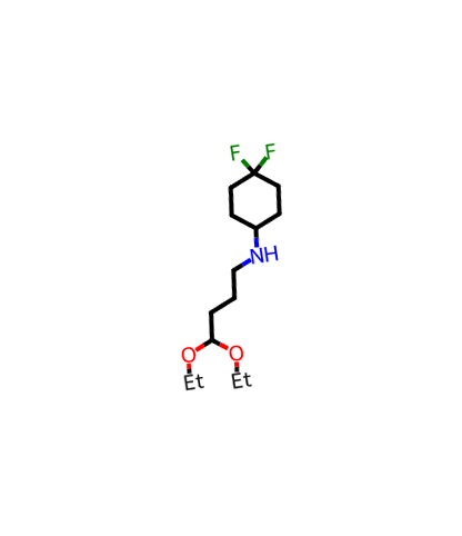 CCOC(CCCNC1CCC(F)(F)CC1)OCC